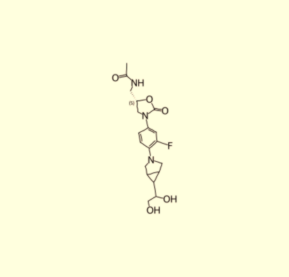 CC(=O)NC[C@H]1CN(c2ccc(N3CC4C(C3)C4C(O)CO)c(F)c2)C(=O)O1